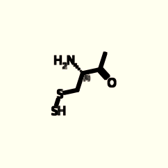 CC(=O)[C@@H](N)CSS